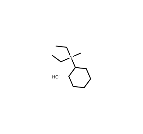 CC[N+](C)(CC)C1CCCCC1.[OH-]